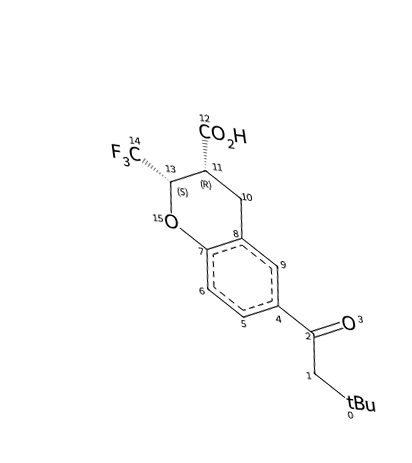 CC(C)(C)CC(=O)c1ccc2c(c1)C[C@@H](C(=O)O)[C@@H](C(F)(F)F)O2